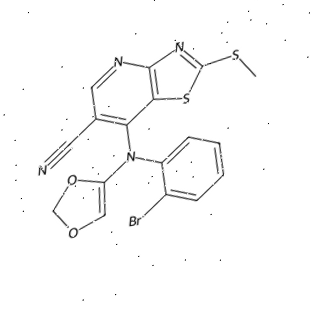 CSc1nc2ncc(C#N)c(N(C3=COCO3)c3ccccc3Br)c2s1